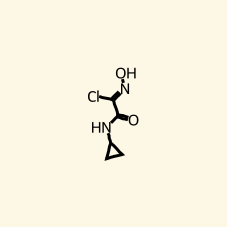 O=C(NC1CC1)/C(Cl)=N/O